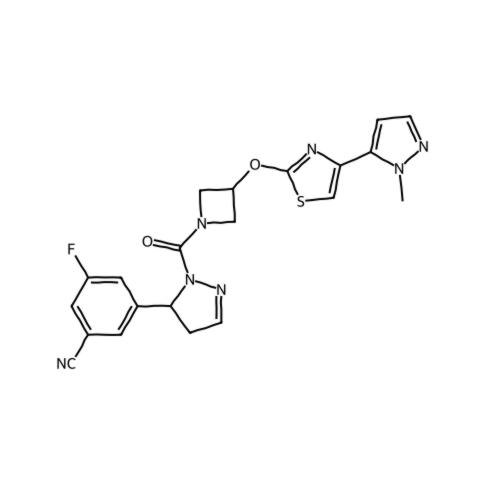 Cn1nccc1-c1csc(OC2CN(C(=O)N3N=CCC3c3cc(F)cc(C#N)c3)C2)n1